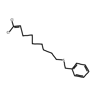 ClC(Cl)=CCCCCCCCSCc1ccccc1